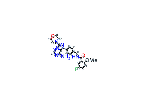 COc1ccc(F)cc1C(=O)NCc1ccc(-c2nc(N3CCOCC3)n3ncnc(N)c23)cc1